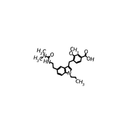 CCCn1cc(Cc2ccc(C(=O)O)cc2OC)c2cc(CCNC(=O)N(C)C)ccc21